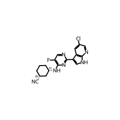 N#C[C@@H]1CCC[C@H](Nc2nc(-c3c[nH]c4ncc(Cl)cc34)ncc2F)C1